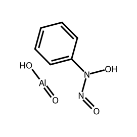 O=NN(O)c1ccccc1.[O]=[Al][OH]